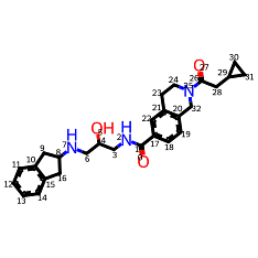 O=C(NCC(O)CNC1Cc2ccccc2C1)c1ccc2c(c1)CCN(C(=O)CC1CC1)C2